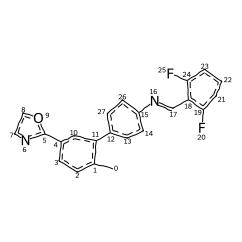 Cc1ccc(-c2ncco2)cc1-c1ccc(/N=C/c2c(F)cccc2F)cc1